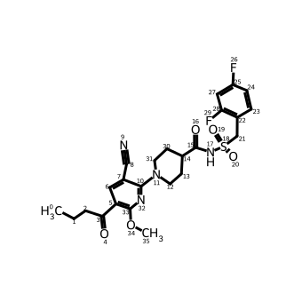 CCCC(=O)c1cc(C#N)c(N2CCC(C(=O)NS(=O)(=O)Cc3ccc(F)cc3F)CC2)nc1OC